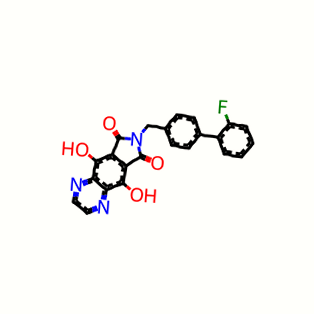 O=C1c2c(c(O)c3nccnc3c2O)C(=O)N1Cc1ccc(-c2ccccc2F)cc1